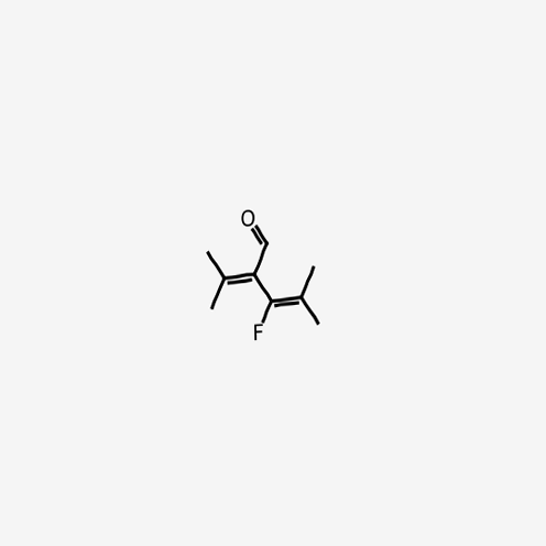 CC(C)=C(F)C(C=O)=C(C)C